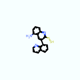 Nc1cccc2nc(SS)c(-c3cccc4cccnc34)cc12